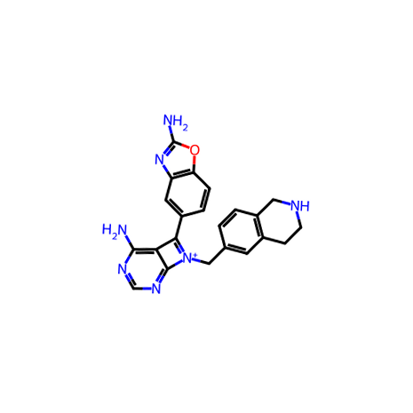 Nc1nc2cc(C3=[N+](Cc4ccc5c(c4)CCNC5)c4ncnc(N)c43)ccc2o1